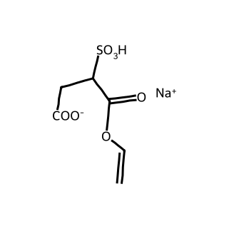 C=COC(=O)C(CC(=O)[O-])S(=O)(=O)O.[Na+]